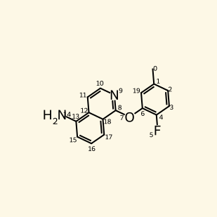 Cc1ccc(F)c(Oc2nccc3c(N)cccc23)c1